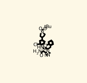 CC(C)(C)OC(=O)N1CCC(c2ccc(NN3C=C(Cc4ccccc4Cl)n4cnnc4C3C(N)=O)c(Cl)c2)CC1